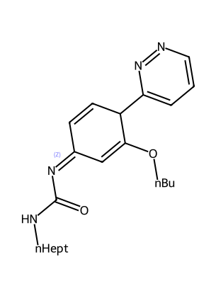 CCCCCCCNC(=O)/N=C1/C=CC(c2cccnn2)C(OCCCC)=C1